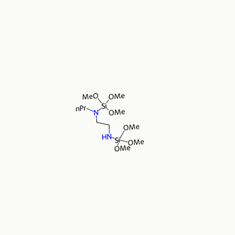 CCCN(CCN[Si](OC)(OC)OC)[Si](OC)(OC)OC